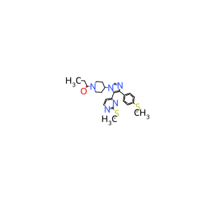 CCC(=O)N1CCC(n2cnc(-c3ccc(SC)cc3)c2-c2ccnc(SC)n2)CC1